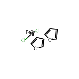 [Cl][Ni][Cl].[Fe+2].c1cc[cH-]c1.c1cc[cH-]c1